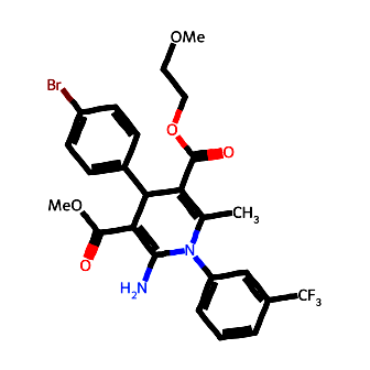 COCCOC(=O)C1=C(C)N(c2cccc(C(F)(F)F)c2)C(N)=C(C(=O)OC)C1c1ccc(Br)cc1